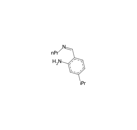 CCC/N=C\c1ccc(C(C)C)cc1N